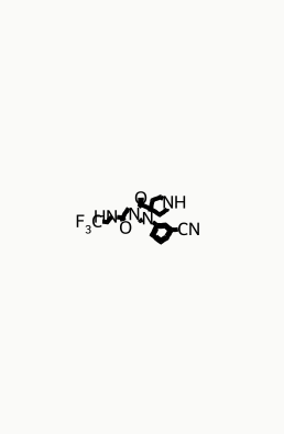 N#Cc1cccc(N2CN(CC(=O)NCC(F)(F)F)C(=O)C23CCNCC3)c1